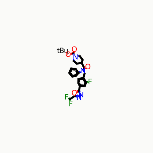 CC(C)(C)OC(=O)N1CCC(C(=O)N(Cc2ccc(-c3nnc(C(F)F)o3)cc2F)c2ccccc2)CC1